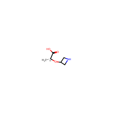 C[C@@H](OC1CNC1)C(=O)O